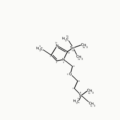 Cc1cn(COCC[Si](C)(C)C)[c]([Sn]([CH3])([CH3])[CH3])n1